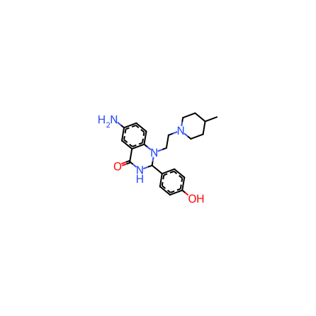 CC1CCN(CCN2c3ccc(N)cc3C(=O)NC2c2ccc(O)cc2)CC1